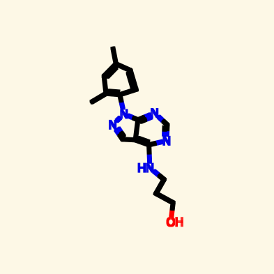 Cc1ccc(-n2ncc3c(NCCCO)ncnc32)c(C)c1